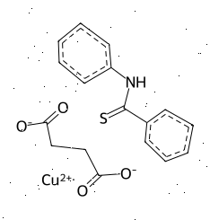 O=C([O-])CCC(=O)[O-].S=C(Nc1ccccc1)c1ccccc1.[Cu+2]